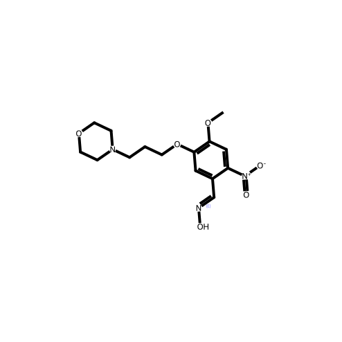 COc1cc([N+](=O)[O-])c(/C=N/O)cc1OCCCN1CCOCC1